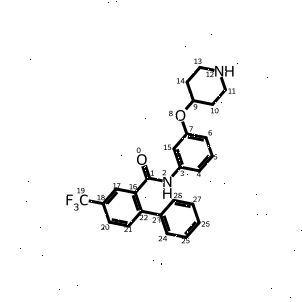 O=C(Nc1cccc(OC2CCNCC2)c1)c1cc(C(F)(F)F)ccc1-c1ccccc1